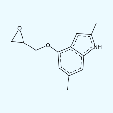 Cc1cc(OCC2CO2)c2cc(C)[nH]c2c1